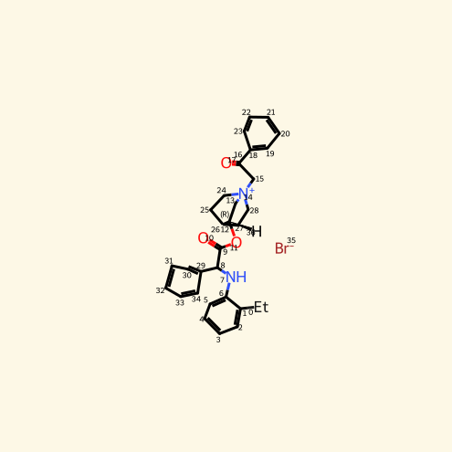 CCc1ccccc1NC(C(=O)O[C@H]1C[N+]2(CC(=O)c3ccccc3)CCC1CC2)c1ccccc1.[Br-]